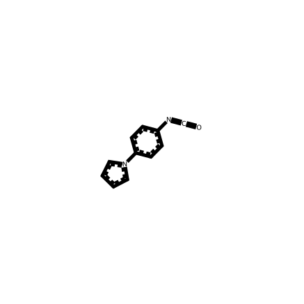 O=C=Nc1ccc(-n2cccc2)cc1